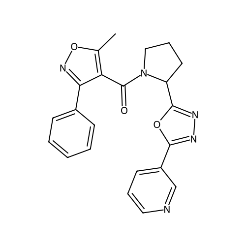 Cc1onc(-c2ccccc2)c1C(=O)N1CCCC1c1nnc(-c2cccnc2)o1